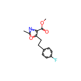 COC(=O)c1nc(C)oc1CCc1ccc(F)cc1